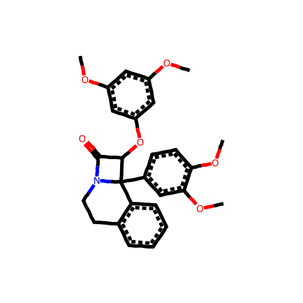 COc1cc(OC)cc(OC2C(=O)N3CCc4ccccc4C23c2ccc(OC)c(OC)c2)c1